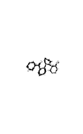 O=C(c1ccccc1)c1ccccc1-c1ccccc1C1CCCCC1O